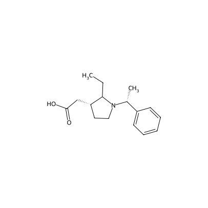 CCC1[C@@H](CC(=O)O)CCN1[C@H](C)c1ccccc1